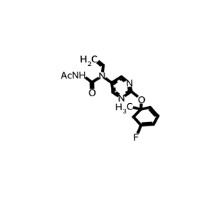 C=CN(C(=O)NC(C)=O)c1cnc(OC2(C)C=CC=C(F)C2)nc1